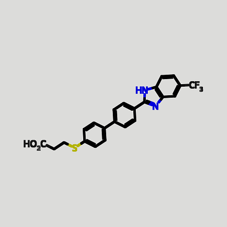 O=C(O)CCSc1ccc(-c2ccc(-c3nc4cc(C(F)(F)F)ccc4[nH]3)cc2)cc1